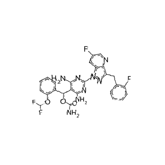 NC(=O)OC(c1ccccc1OC(F)F)c1c(N)nc(-n2nc(Cc3ccccc3F)c3ncc(F)cc32)nc1N